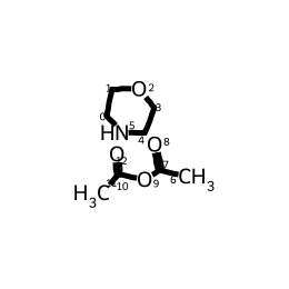 C1COCCN1.CC(=O)OC(C)=O